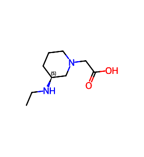 CCN[C@H]1CCCN(CC(=O)O)C1